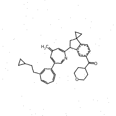 C=C1C=C(C2=C=CC=CC(CCC3CC3)=C2)C=NC(C2CC3(CC3)c3ccc(C(=O)C4CCOCC4)cc32)=C1